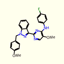 COc1ccc(Cn2nc(-c3ncc(OC)c(Nc4ccc(F)cc4)n3)c3ccccc32)cc1